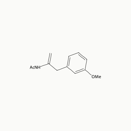 C=C(Cc1cccc(OC)c1)NC(C)=O